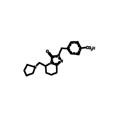 O=C(O)c1ccc(Cn2nc3n(c2=O)C(CN2CCCC2)CCC3)cc1